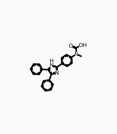 CN(C(=O)O)c1ccc(-c2nc(-c3ccccc3)c(-c3ccccc3)[nH]2)cc1